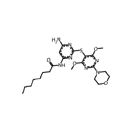 CCCCCCCC(=O)Nc1cc(N)nc(Sc2c(OC)nc(N3CCOCC3)nc2OC)n1